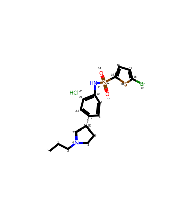 CCCN1CC[C@@H](c2ccc(NS(=O)(=O)c3ccc(Br)s3)cc2)C1.Cl